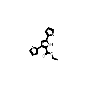 CCOC(=O)c1[nH]c(-c2cccs2)cc1-c1cccs1